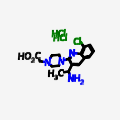 CC(N)c1cc2cccc(Cl)c2nc1N1CCN(CC(=O)O)CC1.Cl.Cl